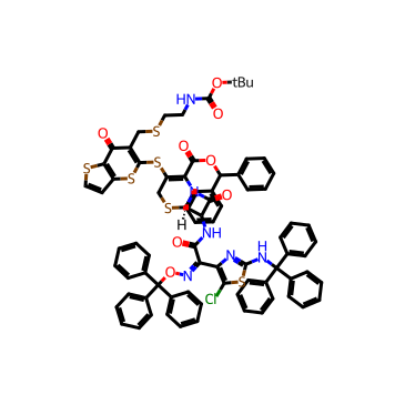 CC(C)(C)OC(=O)NCCSCc1c(SC2=C(C(=O)OC(c3ccccc3)c3ccccc3)N3C(=O)C(NC(=O)/C(=N\OC(c4ccccc4)(c4ccccc4)c4ccccc4)c4nc(NC(c5ccccc5)(c5ccccc5)c5ccccc5)sc4Cl)[C@H]3SC2)sc2ccsc2c1=O